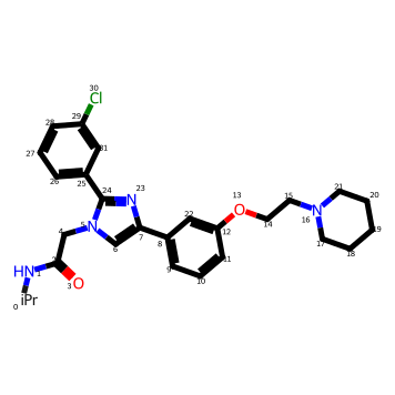 CC(C)NC(=O)Cn1cc(-c2cccc(OCCN3CCCCC3)c2)nc1-c1cccc(Cl)c1